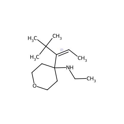 C/C=C(/C(C)(C)C)C1(NCC)CCOCC1